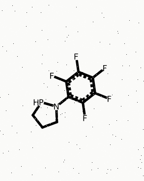 Fc1c(F)c(F)c(N2CCCP2)c(F)c1F